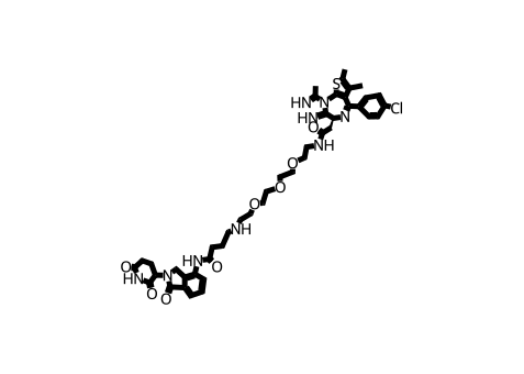 CC(=N)N1C(=N)[C@H](CC(=O)NCCOCCOCCOCCNCCCC(=O)Nc2cccc3c2CN(C2CCC(=O)NC2=O)C3=O)N=C(c2ccc(Cl)cc2)c2c1sc(C)c2C